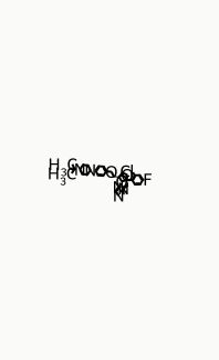 CC(C)N1CCN(c2ccc(OC[C@H]3CO[C@](Cn4cncn4)(c4ccc(F)cc4Cl)O3)cc2)CC1